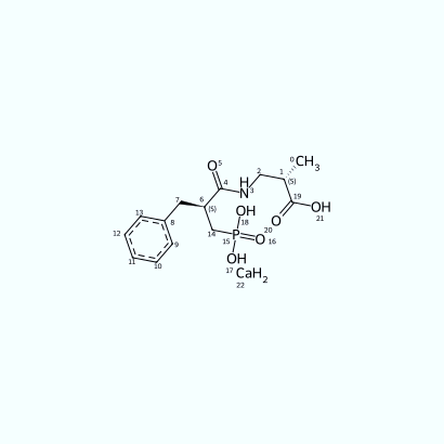 C[C@@H](CNC(=O)[C@H](Cc1ccccc1)CP(=O)(O)O)C(=O)O.[CaH2]